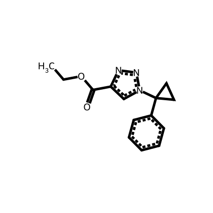 CCOC(=O)c1cn(C2(c3ccccc3)CC2)nn1